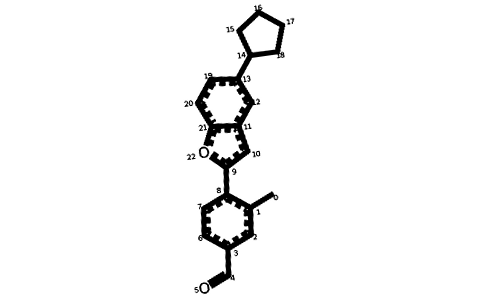 Cc1cc(C=O)ccc1-c1cc2cc(C3CCCC3)ccc2o1